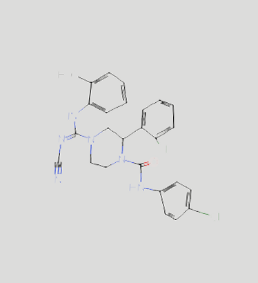 Cc1ccccc1N/C(=N/C#N)N1CCN(C(=O)Nc2ccc(Cl)cc2)C(c2ccccc2Cl)C1